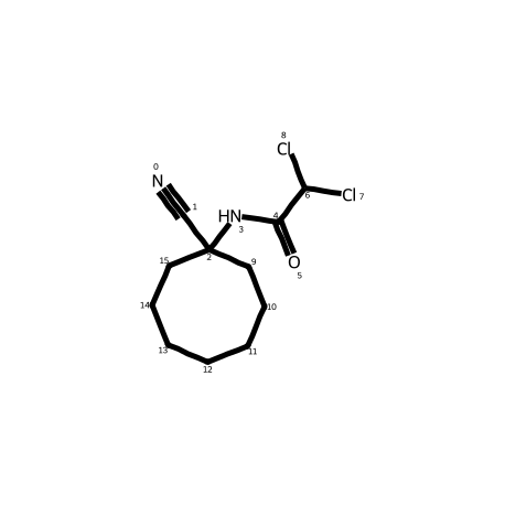 N#CC1(NC(=O)C(Cl)Cl)CCCCCCC1